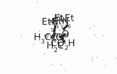 C=CC(=O)OCCN(CC)CC.CCN(CC)CCC=C(C)C(=O)O